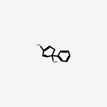 OC1=CCC([SeH])(c2ccccc2)C=C1